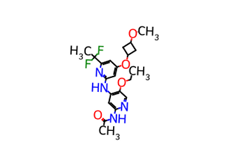 CCOc1cnc(NC(C)=O)cc1Nc1cc(OC2CC(OC)C2)cc(C(C)(F)F)n1